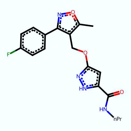 CCCNC(=O)c1cc(OCc2c(-c3ccc(F)cc3)noc2C)n[nH]1